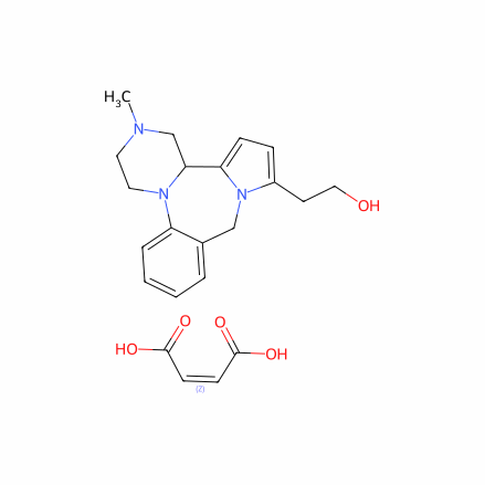 CN1CCN2c3ccccc3Cn3c(CCO)ccc3C2C1.O=C(O)/C=C\C(=O)O